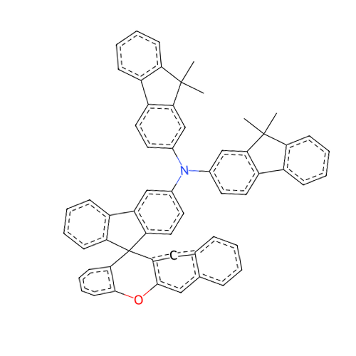 CC1(C)c2ccccc2-c2ccc(N(c3ccc4c(c3)-c3ccccc3C43c4ccccc4Oc4cc5ccccc5cc43)c3ccc4c(c3)C(C)(C)c3ccccc3-4)cc21